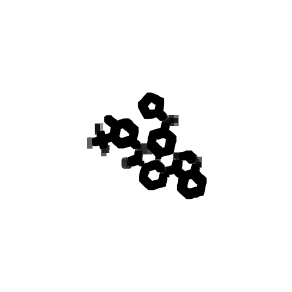 Cc1ccc(NC(=O)[C@H]2CCCN(c3ncnc4ccccc34)[C@H]2c2ccc(NC3CCCC3)cc2)cc1C(F)(F)F